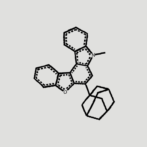 Cn1c2ccccc2c2c3c(oc4ccccc43)c(C34CC5CC(CC(C5)C3)C4)cc21